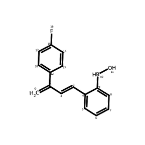 C=C(C=Cc1ccccc1BO)c1ccc(F)cc1